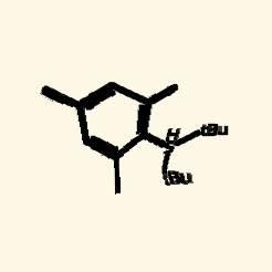 Cc1cc(C)c([SH](C(C)(C)C)C(C)(C)C)c(C)c1